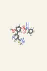 COc1ccc(OC(=O)NC2CCCC2)cc1-c1cncc(-c2nncs2)c1